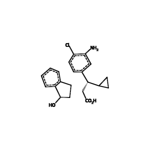 Nc1cc([C@@H](CC(=O)O)C2CC2)ccc1Cl.OC1CCc2ccccc21